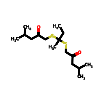 CCC(C)(SCC(=O)CC(C)C)SCC(=O)CC(C)C